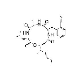 CCCC[C@H](C)[C@@H]1CC(=O)N[C@H](Cc2ccccc2C#N)C(=O)N[C@@H](C)C(=O)N[C@H](CC(C)C)C(=O)O1